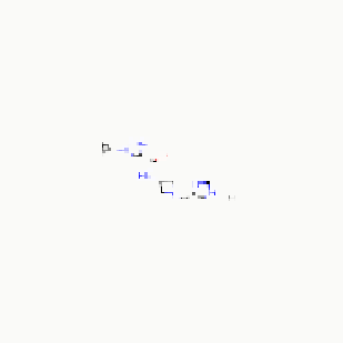 Cn1cnc(CN2CC(NC(=O)c3cn(C4CC4)nn3)C2)c1